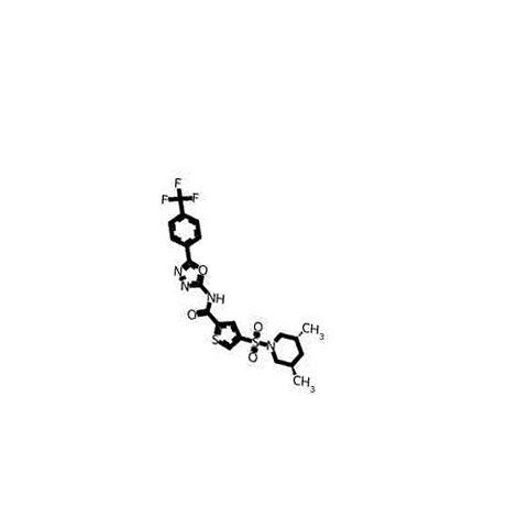 C[C@@H]1C[C@@H](C)CN(S(=O)(=O)c2csc(C(=O)Nc3nnc(-c4ccc(C(F)(F)F)cc4)o3)c2)C1